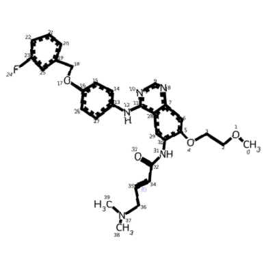 COCCOc1cc2ncnc(Nc3ccc(OCc4cccc(F)c4)cc3)c2cc1NC(=O)/C=C/CN(C)C